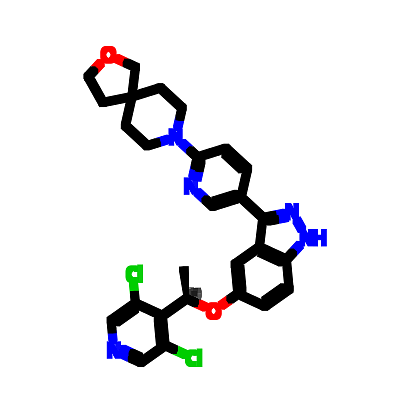 C[C@@H](Oc1ccc2[nH]nc(-c3ccc(N4CCC5(CCOC5)CC4)nc3)c2c1)c1c(Cl)cncc1Cl